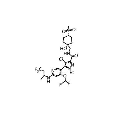 CCn1nc(C(=O)NC[C@]2(O)CC[C@@H](S(C)(=O)=O)CC2)c(Cl)c1-c1cnc(NC(C)CC(F)(F)F)cc1OC(F)F